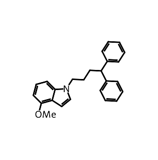 COc1cccc2c1ccn2CCCC(c1ccccc1)c1ccccc1